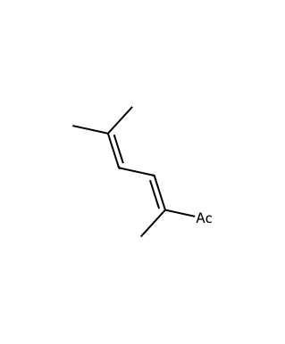 CC(=O)/C(C)=C/C=C(C)C